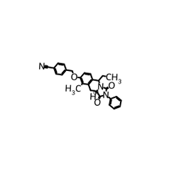 CCC1c2ccc(OCc3ccc(C#N)cc3)c(C)c2C[C@H]2C(=O)N(c3ccccc3)C(=O)N12